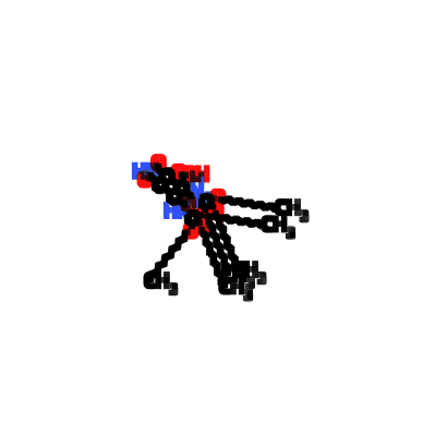 CCCCCCCCCCCCOc1cc(NC(=N)c2cc(C(=O)O)c3c4ccc5c6c(ccc(c7ccc(C(=O)Nc8cc(OCCCCCCCCCCCC)c(OCCCCCCCCCCCC)c(OCCCCCCCCCCCC)c8)c2c73)c64)C(=O)NC5=O)cc(OCCCCCCCCCCCC)c1OCCCCCCCCCCCC